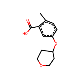 Cc1ccc(OC2CCOCC2)cc1C(=O)O